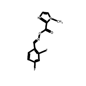 Cn1ccnc1C(=O)ON=Cc1ccc(F)cc1F